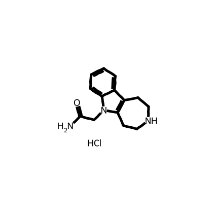 Cl.NC(=O)Cn1c2c(c3ccccc31)CCNCC2